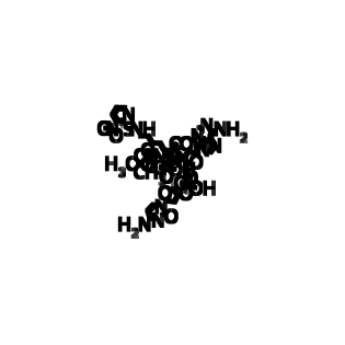 CC(C)(C)OC(=O)NC(CCCCNSc1ncccc1[N+](=O)[O-])C(=O)O[C@H]1[C@@H](O)[C@H](n2cnc3c(N)ncnc32)O[C@H]1COP(=O)(O)O[C@H]1C[C@H](n2ccc(N)nc2=O)O[C@@H]1COP(=O)(O)O